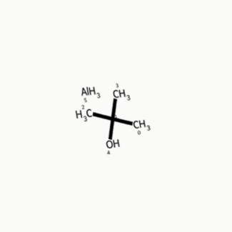 CC(C)(C)O.[AlH3]